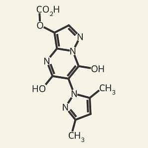 Cc1cc(C)n(-c2c(O)nc3c(OC(=O)O)cnn3c2O)n1